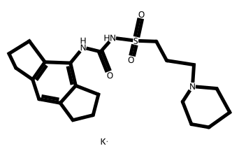 O=C(Nc1c2c(cc3c1CCC3)CCC2)NS(=O)(=O)CCCN1CCCCC1.[K]